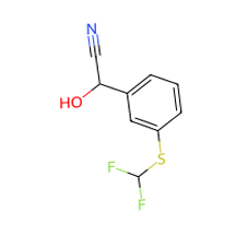 N#CC(O)c1cccc(SC(F)F)c1